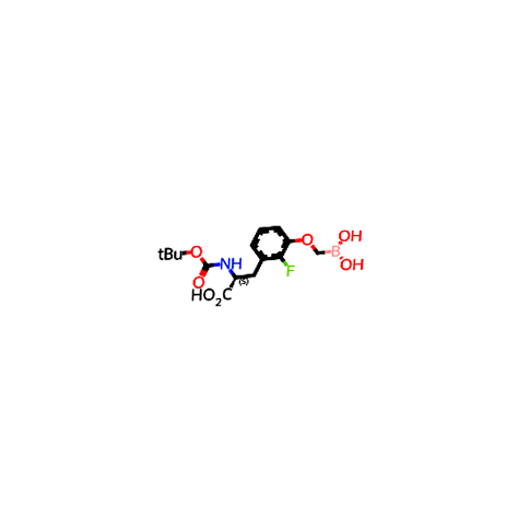 CC(C)(C)OC(=O)N[C@@H](Cc1cccc(OCB(O)O)c1F)C(=O)O